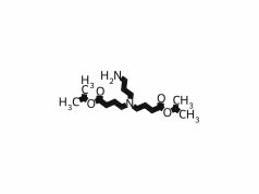 CC(C)OC(=O)CCCN(CCCN)CCCC(=O)OC(C)C